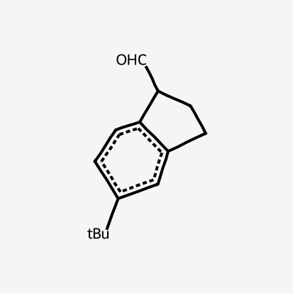 CC(C)(C)c1ccc2c(c1)CCC2C=O